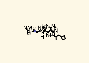 CN/C(Br)=C\C(=N)NC(=O)C(=N)c1c(N)ncnc1NC(C)CC1CCC1